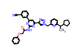 CC(c1cccc(Cn2cc(-c3cc(-c4cccc(C#N)c4)nc(NC(=O)COc4ccccc4)n3)nn2)n1)C1CCCC1